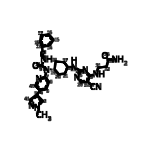 Cn1cc(-c2ccc(N(C(=O)NCc3ccccc3)[C@H]3CC[C@H](Nc4ncc(C#N)c(NCCC(N)=O)n4)CC3)nc2)cn1